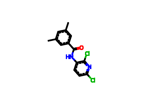 Cc1cc(C)cc(C(=O)Nc2ccc(Cl)nc2Cl)c1